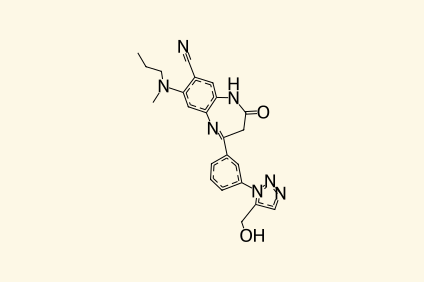 CCCN(C)c1cc2c(cc1C#N)NC(=O)CC(c1cccc(-n3nncc3CO)c1)=N2